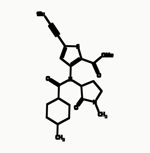 COC(=O)c1sc(C#CC(C)(C)C)cc1N(C(=O)C1CCC(C)CC1)C1CCN(C)C1=O